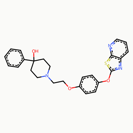 OC1(c2ccccc2)CCN(CCOc2ccc(Oc3nc4cccnc4s3)cc2)CC1